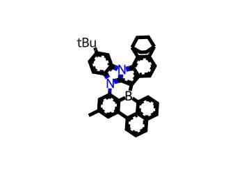 Cc1cc2c3c(c1)-n1c4ccc(C(C)(C)C)cc4n4c5c6c(ccc5c(c14)B3c1cccc3cccc-2c13)C1CCC6CC1